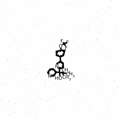 CC(C)(C)C(O)(c1cccnc1)c1ccc(-c2ccc(OC(F)(F)F)cc2)cn1